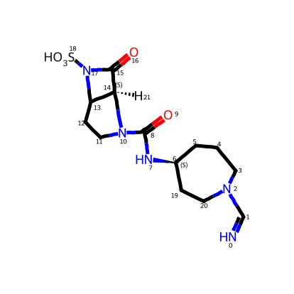 N=CN1CCC[C@H](NC(=O)N2CCC3[C@H]2C(=O)N3S(=O)(=O)O)CC1